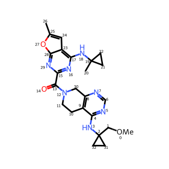 COCC1(Nc2ncnc3c2CCN(C(=O)c2nc(NC4(C)CC4)c4cc(C)oc4n2)C3)CC1